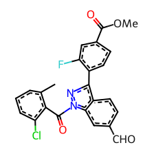 COC(=O)c1ccc(-c2nn(C(=O)c3c(C)cccc3Cl)c3cc(C=O)ccc23)c(F)c1